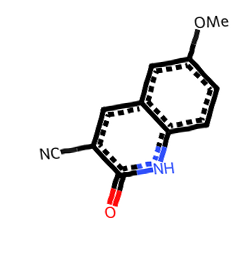 COc1ccc2[nH]c(=O)c(C#N)cc2c1